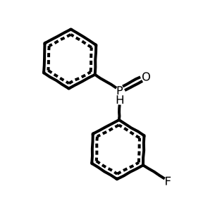 O=[PH](c1ccccc1)c1cccc(F)c1